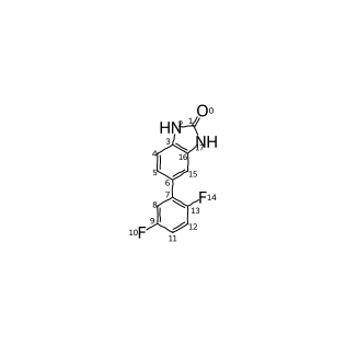 O=c1[nH]c2ccc(-c3cc(F)ccc3F)cc2[nH]1